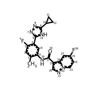 Cc1cc(F)c(-c2nnc(C3CC3)[nH]2)cc1NC(=O)c1cnn2ccc(F)cc12